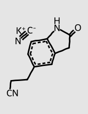 N#CCCc1ccc2c(c1)CC(=O)N2.[C-]#N.[K+]